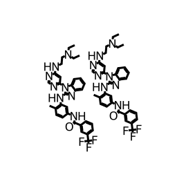 CCN(CC)CCNc1cc(-n2c(Nc3cc(NC(=O)c4cccc(C(F)(F)F)c4)ccc3C)nc3ccccc32)ncn1.CCN(CC)CCNc1cc(-n2c(Nc3cc(NC(=O)c4cccc(C(F)(F)F)c4)ccc3C)nc3ccccc32)ncn1